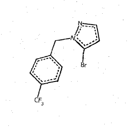 FC(F)(F)c1ccc(Cn2nccc2Br)cc1